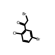 O=C(CBr)c1cc(Br)ccc1Cl